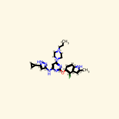 CCCN1CCN(c2cc(Nc3cc(C4CC4)[nH]n3)nc(Oc3ccc4[nH]c(C)cc4c3F)n2)CC1